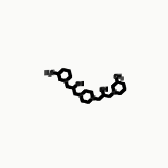 CC1CCCN(CC(O)CN2CCN(CC(O)CN3CCCC(C)C3)CC2)C1